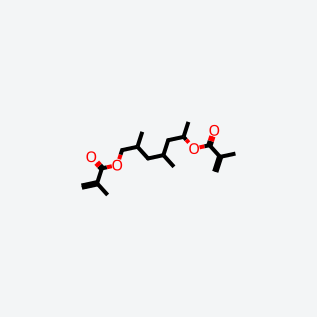 C=C(C)C(=O)OCC(C)CC(C)CC(C)OC(=O)C(=C)C